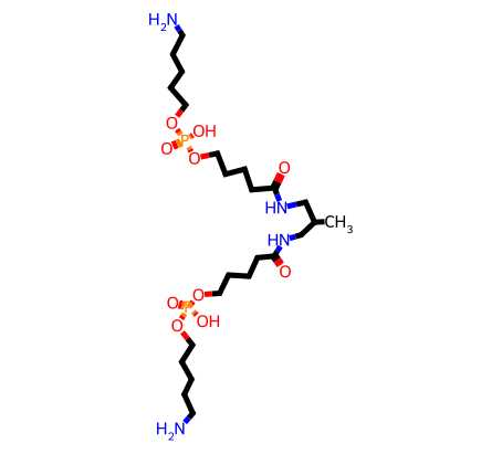 CC(CNC(=O)CCCCOP(=O)(O)OCCCCCN)CNC(=O)CCCCOP(=O)(O)OCCCCCN